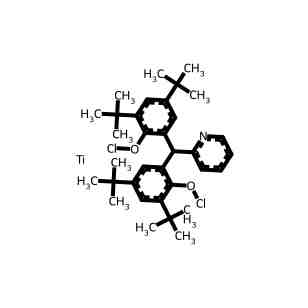 CC(C)(C)c1cc(C(c2ccccn2)c2cc(C(C)(C)C)cc(C(C)(C)C)c2OCl)c(OCl)c(C(C)(C)C)c1.[Ti]